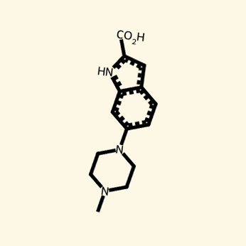 CN1CCN(c2ccc3cc(C(=O)O)[nH]c3c2)CC1